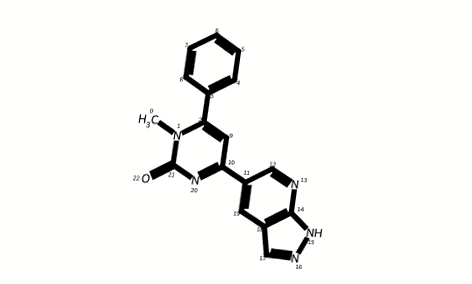 Cn1c(-c2ccccc2)cc(-c2cnc3[nH]ncc3c2)nc1=O